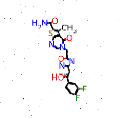 Cc1c(C(N)=O)sc2ncn(Cc3nc(C[C@H](O)c4ccc(F)c(F)c4)no3)c(=O)c12